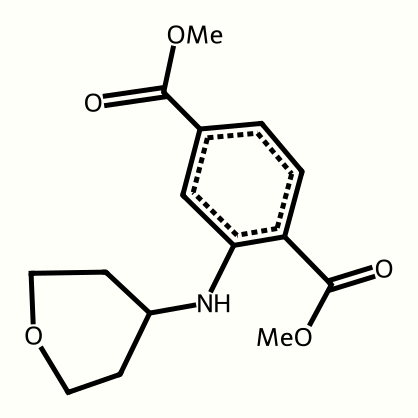 COC(=O)c1ccc(C(=O)OC)c(NC2CCOCC2)c1